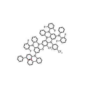 Fc1cccc(F)c1N(c1ccccc1)c1cc2c3c(c1)N(c1c(F)cccc1F)c1ccccc1B3c1cc3c(c(C(F)(F)F)c1N2c1ccc(C(F)(F)F)cc1)Sc1cc(N(c2ccc(-c4ccccc4)cc2)c2ccccc2-c2ccccc2)cc2c1B3c1ccccc1N2c1c(F)cccc1F